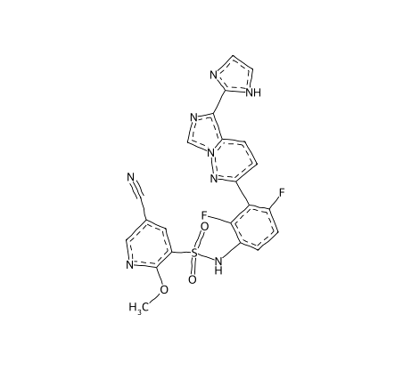 COc1ncc(C#N)cc1S(=O)(=O)Nc1ccc(F)c(-c2ccc3c(-c4ncc[nH]4)ncn3n2)c1F